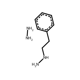 NN.NNCCc1ccccc1